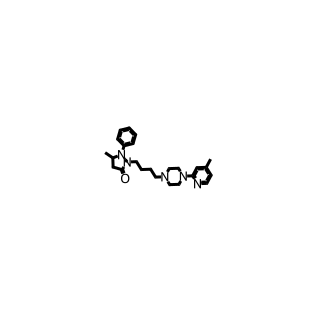 Cc1ccnc(N2CCN(CCCCN3C(=O)CC(C)N3c3ccccc3)CC2)c1